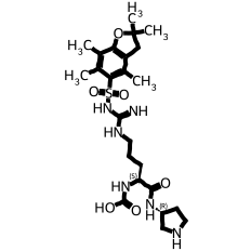 Cc1c(C)c(S(=O)(=O)NC(=N)NCCC[C@H](NC(=O)O)C(=O)N[C@@H]2CCNC2)c(C)c2c1OC(C)(C)C2